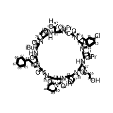 CCCN1CC(=O)N(C)[C@@H](Cc2cccc(Cl)c2)C(=O)N(C)[C@@H](CC(C)C)C(=O)N[C@@H](COCCO)C(=O)N(C)[C@@H](CC(C)C)C(=O)N[C@H](C(=O)N2CCCCC2)CC(=O)N(C)CC(=O)N(C)[C@@H](CCc2ccccc2)C(=O)N[C@@H]([C@@H](C)CC)C(=O)N(C)[C@@H](CC(C)C)C(=O)N[C@@H]([C@@H](C)O)C1=O